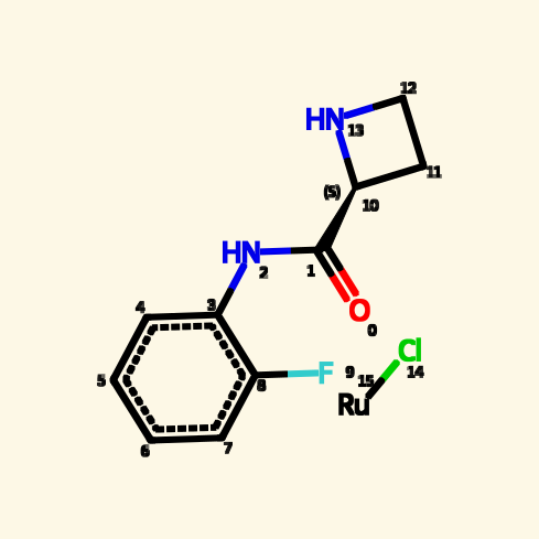 O=C(Nc1ccccc1F)[C@@H]1CCN1.[Cl][Ru]